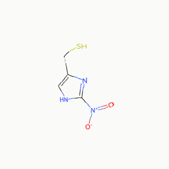 O=[N+]([O-])c1nc(CS)c[nH]1